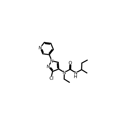 CCC(C)NC(=O)N(CC)c1cn(-c2cccnc2)nc1Cl